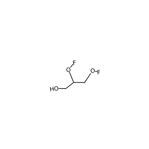 OCC(COF)OF